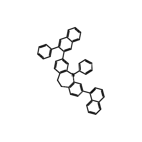 c1ccc(-c2cc3ccccc3cc2-c2ccc3c(c2)N(c2ccccc2)c2cc(-c4cccc5ccccc45)ccc2CC3)cc1